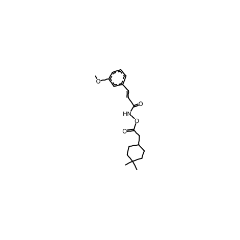 COc1cccc(C=CC(=O)NOC(=O)CC2CCC(C)(C)CC2)c1